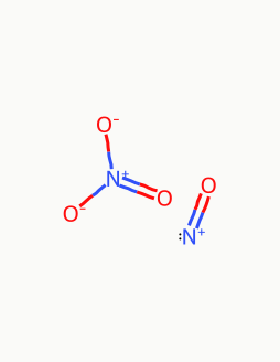 O=[N+]([O-])[O-].[N+]=O